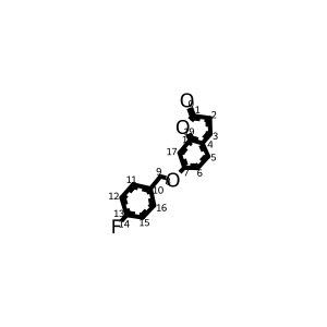 O=c1ccc2ccc(OCc3ccc(F)cc3)cc2o1